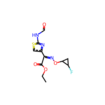 CCOC(=O)C(=NOC1CC1F)c1csc(NC=O)n1